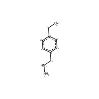 N#CCc1ccc(CNN)cc1